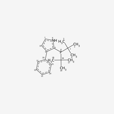 CC(C)(C)P(c1[nH]ccc1-c1ccccc1)C(C)(C)C